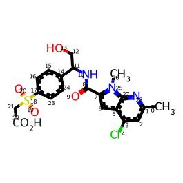 Cc1cc(Cl)c2cc(C(=O)NC(CO)c3ccc(S(=O)(=O)CC(=O)O)cc3)n(C)c2n1